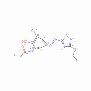 CCSc1nsc(/N=N/c2cc(Cl)c(O)c(NC(=O)CC)c2)n1